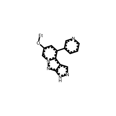 CCOc1cc(-c2cccnc2)c2c3cn[nH]c3nn2c1